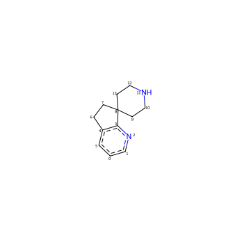 c1cnc2c(c1)CCC21CCNCC1